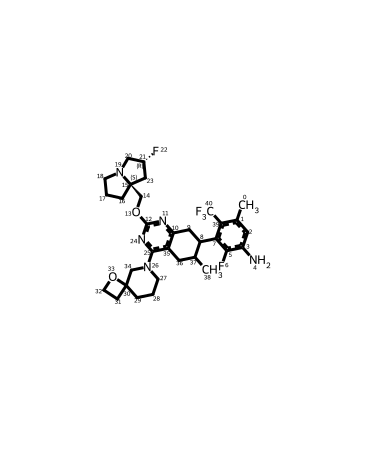 Cc1cc(N)c(F)c(C2Cc3nc(OC[C@@]45CCCN4C[C@H](F)C5)nc(N4CCCC5(CCO5)C4)c3CC2C)c1C(F)(F)F